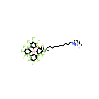 CCCCCCCCCC[NH2+]C.Fc1c(F)c(F)c([B-](c2c(F)c(F)c(F)c(F)c2F)(c2c(F)c(F)c(F)c(F)c2F)c2c(F)c(F)c(F)c(F)c2F)c(F)c1F